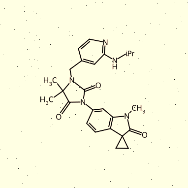 CC(C)Nc1cc(CN2C(=O)N(c3ccc4c(c3)N(C)C(=O)C43CC3)C(=O)C2(C)C)ccn1